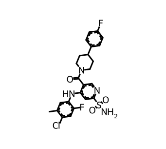 Cc1cc(Nc2cc(S(N)(=O)=O)ncc2C(=O)N2CCC(c3ccc(F)cc3)CC2)c(F)cc1Cl